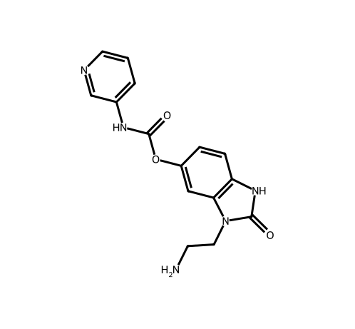 NCCn1c(=O)[nH]c2ccc(OC(=O)Nc3cccnc3)cc21